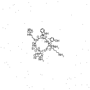 CC[C@@H]1NC(=O)[C@H](CCCCNC(=O)OC(C)(C)C)NC(=O)[C@@H](Cc2c[nH]c3ccccc23)NC(=O)[C@H](Cc2ccc(O)cc2)NC(=O)[C@@H](NC(=O)[C@H](N)CCCCN)CSSC[C@@H](C(=O)N[C@H](C(N)=O)[C@@H](C)O)NC1=O